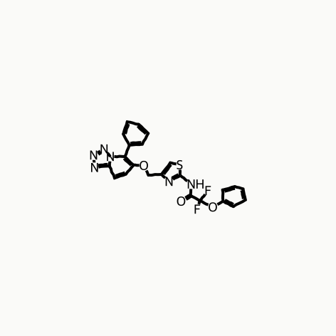 O=C(Nc1nc(COc2ccc3nnnn3c2-c2ccccc2)cs1)C(F)(F)Oc1ccccc1